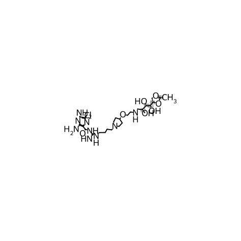 C[C@@H]1OC[C@H]([C@@H](O)[C@H](O)[C@@H](O)CNCCOC2CCN(CCCCNC(=N)NC(=O)c3nc(Cl)c(N)nc3N)CC2)O1